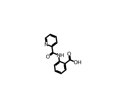 O=C(Nc1ccccc1C(=O)O)c1ccccn1